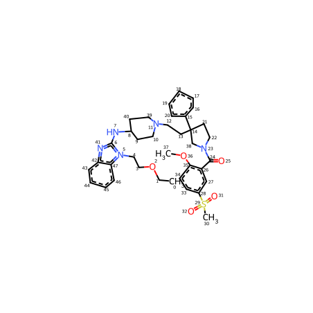 CCOCCn1c(NC2CCN(CCC3(c4ccccc4)CCN(C(=O)c4cc(S(C)(=O)=O)ccc4OC)C3)CC2)nc2ccccc21